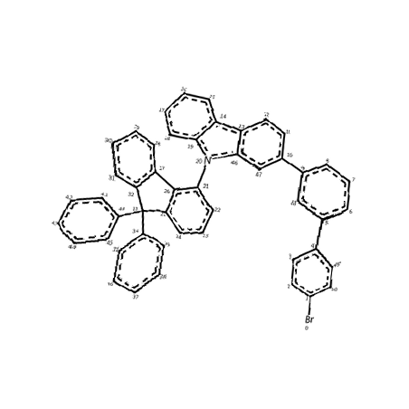 Brc1ccc(-c2cccc(-c3ccc4c5ccccc5n(-c5cccc6c5-c5ccccc5C6(c5ccccc5)c5ccccc5)c4c3)c2)cc1